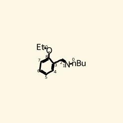 CCCC/N=C/c1ccccc1OCC